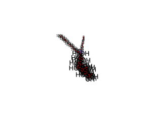 CCCCCCCCCCCCC/C=C/[C@@H](O)[C@H](CO[C@@H]1OC(CO)[C@@H](O[C@@H]2OC(CO)[C@H](O[C@@H]3OC(CO)[C@H](O)[C@H](O[C@@H]4OC(CO)[C@H](O)[C@H](O[C@H]5OC(CO)[C@H](O)[C@H](O[C@@H]6OC(CO)[C@H](O)[C@H](O)C6NC(C)=O)C5O)C4O[C@H]4OC(C)[C@@H](O)C(O)[C@@H]4O)C3NC(C)=O)[C@H](O)C2O)[C@H](O)C1O)NC(=O)CCCCCCCCCCCCCCCCCCCCCCC